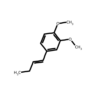 CCC=Cc1ccc(OC)c(OC)c1